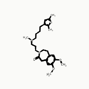 COc1cc2c(cc1OC)CC(=O)N(CCCN(C)CCCCc1cc(C)sc1C)CC2